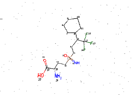 N=S(=O)(CCC(C1CCCCC1)C(F)(F)F)CC[C@H](N)C(=O)O